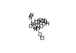 CC(=O)O.COCCC(=O)N(CCc1ccc(Cl)cc1)c1ncc(C(=O)NCCCn2ccnc2)s1